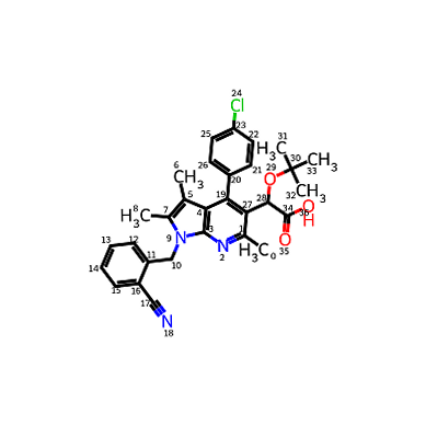 Cc1nc2c(c(C)c(C)n2Cc2ccccc2C#N)c(-c2ccc(Cl)cc2)c1C(OC(C)(C)C)C(=O)O